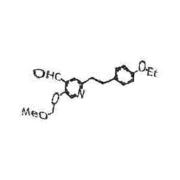 CCOc1ccc(CCc2cc(C=O)c(OCOC)cn2)cc1